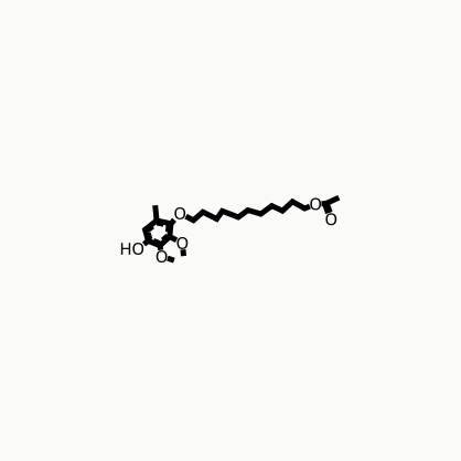 COc1c(O)cc(C)c(OCCCCCCCCCCCOC(C)=O)c1OC